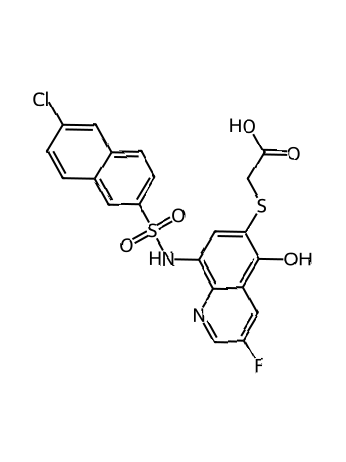 O=C(O)CSc1cc(NS(=O)(=O)c2ccc3cc(Cl)ccc3c2)c2ncc(F)cc2c1O